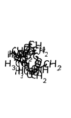 C=CCCC(C)(COOCC=C)NC(=O)OC(=C)OC(=O)C(C)CSCC(COC(=O)NC(C)(CCOOC=C)COOCC=C)OC(=O)NC(C)(CCC=C)COOCC=C